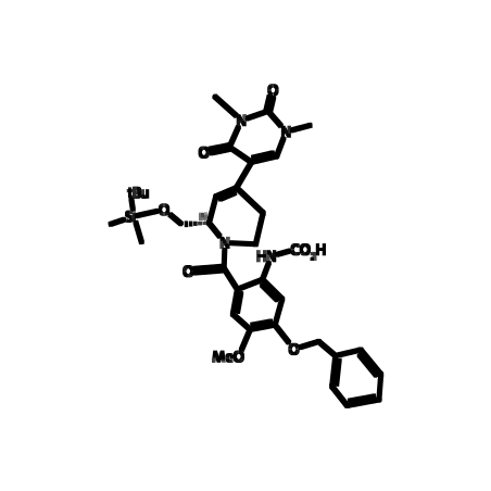 COc1cc(C(=O)N2CCC(c3cn(C)c(=O)n(C)c3=O)=C[C@H]2CO[Si](C)(C)C(C)(C)C)c(NC(=O)O)cc1OCc1ccccc1